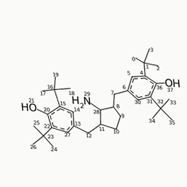 CC(C)(C)c1cc(CC2CCC(Cc3cc(C(C)(C)C)c(O)c(C(C)(C)C)c3)C2N)cc(C(C)(C)C)c1O